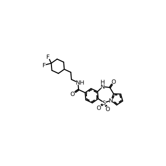 O=C(NCCC1CCC(F)(F)CC1)c1ccc2c(c1)NC(=O)c1cccn1S2(=O)=O